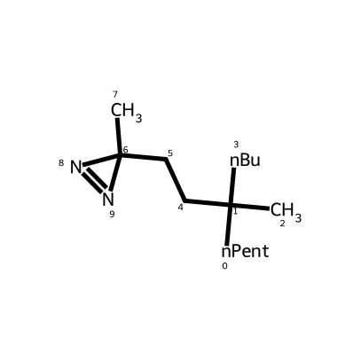 CCCCCC(C)(CCCC)CCC1(C)N=N1